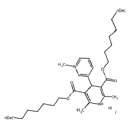 CCCCCCCCCCCCCCCCOC(=O)C1=C(C)NC(C)=C(C(=O)OCCCCCCCCCCCCCCCC)C1c1ccc[n+](C)c1.I.[I-]